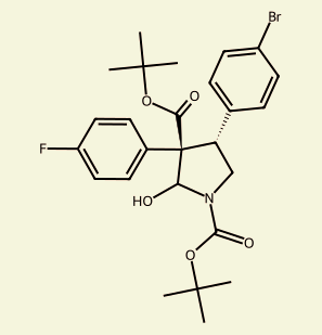 CC(C)(C)OC(=O)N1C[C@@H](c2ccc(Br)cc2)[C@@](C(=O)OC(C)(C)C)(c2ccc(F)cc2)C1O